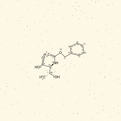 C=C(N[C@H](C(=O)O)[C@@H](C)O)OCc1ccccc1